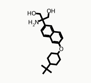 CC(C)(C)C1CCC(Oc2ccc3cc(C(N)(CO)CO)ccc3c2)CC1